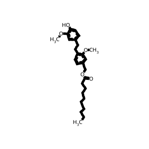 CCCCCCCCCC(=O)OCc1ccc(CCc2ccc(O)c(OC)c2)c(OC)c1